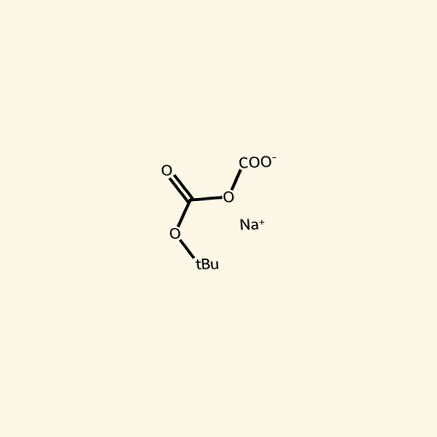 CC(C)(C)OC(=O)OC(=O)[O-].[Na+]